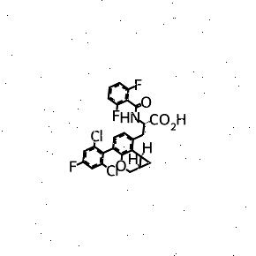 O=C(N[C@@H](Cc1ccc(-c2c(Cl)cc(F)cc2Cl)c2c1[C@H]1C[C@H]1CO2)C(=O)O)c1c(F)cccc1F